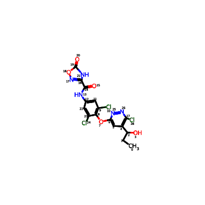 CCC(O)c1cc(Oc2c(Cl)cc(NC(=O)c3noc(=O)[nH]3)cc2Cl)nnc1Cl